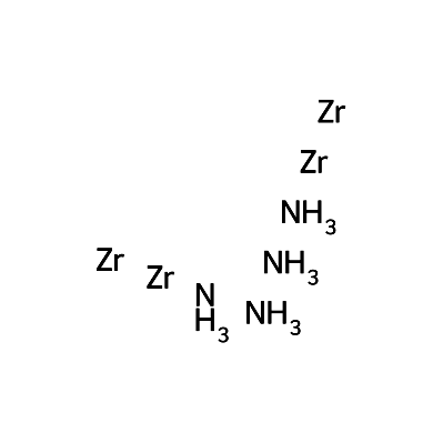 N.N.N.N.[Zr].[Zr].[Zr].[Zr]